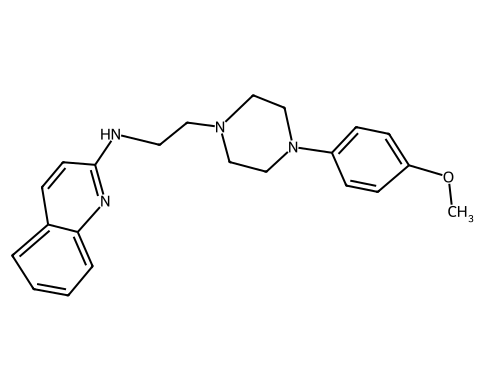 COc1ccc(N2CCN(CCNc3ccc4ccccc4n3)CC2)cc1